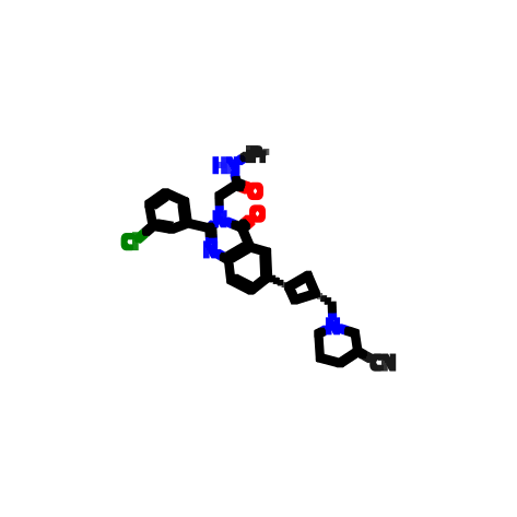 CC(C)NC(=O)Cn1c(-c2cccc(Cl)c2)nc2ccc([C@H]3C[C@@H](CN4CCCC(C#N)C4)C3)cc2c1=O